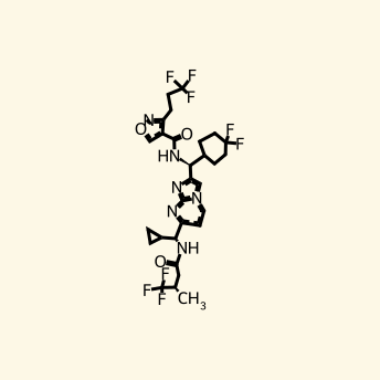 C[C@H](CC(=O)N[C@H](c1ccn2cc([C@@H](NC(=O)c3conc3CCC(F)(F)F)C3CCC(F)(F)CC3)nc2n1)C1CC1)C(F)(F)F